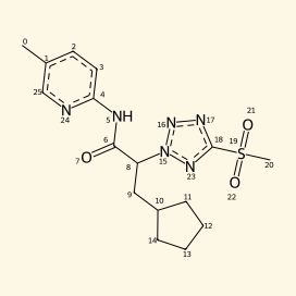 Cc1ccc(NC(=O)C(CC2CCCC2)n2nnc(S(C)(=O)=O)n2)nc1